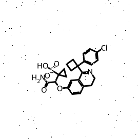 NC(=O)C(Oc1ccc2c(c1)C(C1(c3ccc(Cl)cc3)CCC1)=NCC2)C1(S(=O)(=O)O)CC1